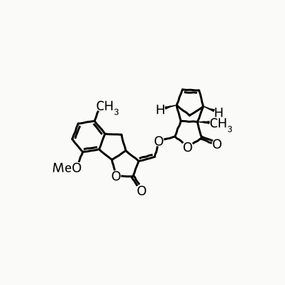 COc1ccc(C)c2c1C1OC(=O)/C(=C/OC3OC(=O)[C@]4(C)C3[C@@H]3C=C[C@H]4C3)C1C2